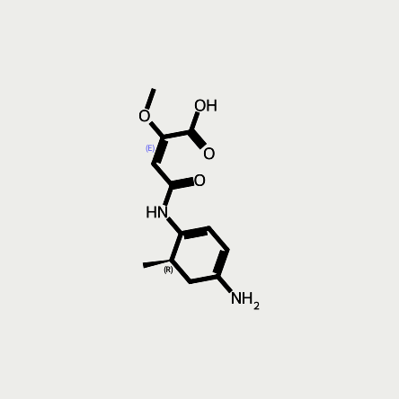 CO/C(=C/C(=O)NC1=CC=C(N)C[C@H]1C)C(=O)O